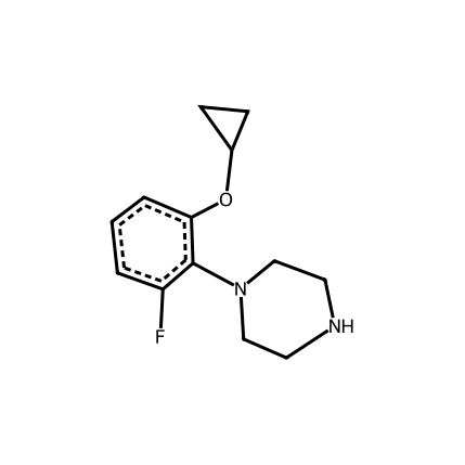 Fc1cccc(OC2CC2)c1N1CCNCC1